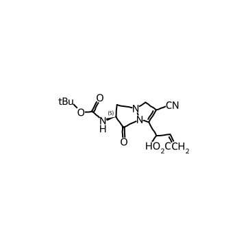 C=CC(C(=O)O)C1=C(C#N)CN2C[C@H](NC(=O)OC(C)(C)C)C(=O)N12